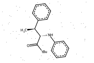 C[C@@H](c1ccccc1)[C@H](Nc1ccccc1)C(=O)C(C)(C)C